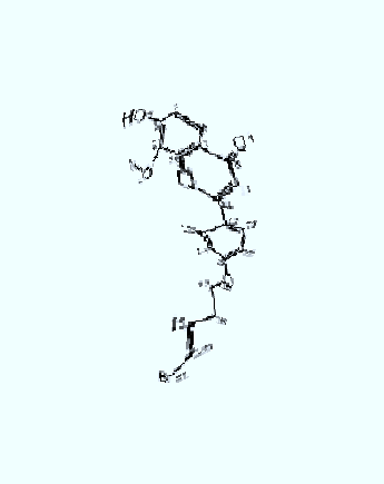 COc1c(O)ccc2c(=O)cc(-c3ccc(OCCCCBr)cc3)oc12